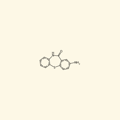 Nc1ccc2c(c1)C(=O)Nc1ccccc1S2